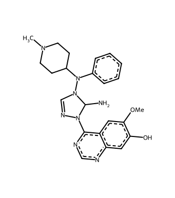 COc1cc2c(N3N=CN(N(c4ccccc4)C4CCN(C)CC4)C3N)ncnc2cc1O